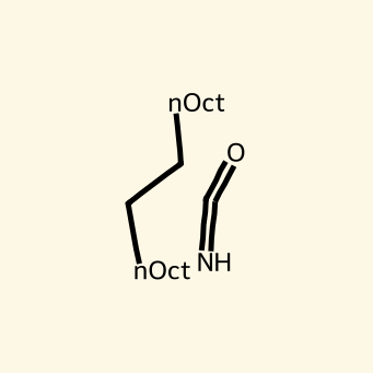 CCCCCCCCCCCCCCCCCC.N=C=O